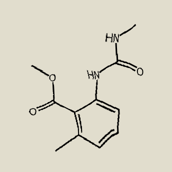 CNC(=O)Nc1cccc(C)c1C(=O)OC